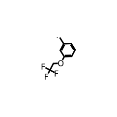 [CH2]c1cccc(OCC(F)(F)F)c1